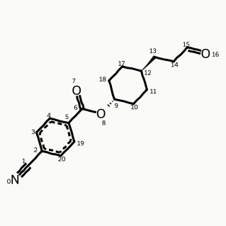 N#Cc1ccc(C(=O)O[C@H]2CC[C@H](CCC=O)CC2)cc1